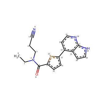 CCN(CCC#N)C(=O)c1ccc(-c2ccnc3[nH]ccc23)s1